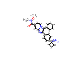 CON(C)C(=O)c1ccn2c(-c3ccccc3)c(-c3ccc(C4(N)CCC4)cc3)nc2c1